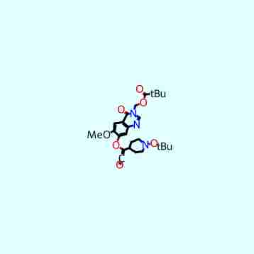 COc1cc2c(=O)n(COC(=O)C(C)(C)C)cnc2cc1OC(=C=O)C1CCN(OC(C)(C)C)CC1